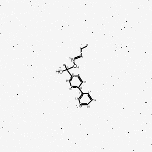 CCC=NOC(C)(O)c1ccc(-c2ccccc2)cc1